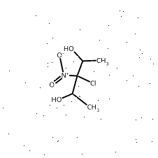 CC(O)C(Cl)(C(C)O)[N+](=O)[O-]